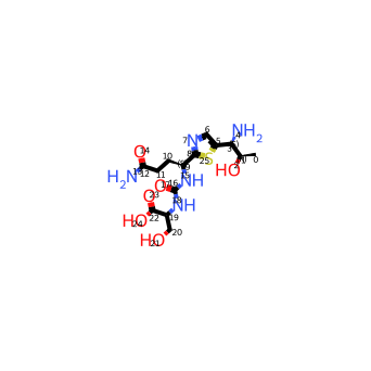 C[C@@H](O)[C@H](N)c1cnc([C@H](CCC(N)=O)NC(=O)NC(CO)C(=O)O)s1